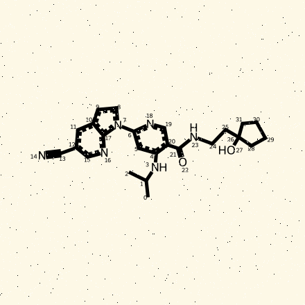 CC(C)Nc1cc(-n2ccc3cc(C#N)cnc32)ncc1C(=O)NCCC1(O)CCCC1